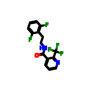 O=C(NCCc1c(F)cccc1F)c1cccnc1C(F)(F)F